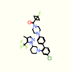 Cc1cnn(C2CCCN(c3cc(Cl)ccc3-c3ccc(N4CCN(C(=O)C56CC5(F)C6)CC4)cc3)C2)c1C(F)(F)F